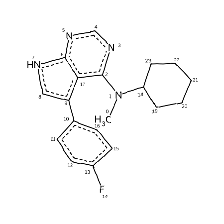 CN(c1ncnc2[nH]cc(-c3ccc(F)cc3)c12)C1CCCCC1